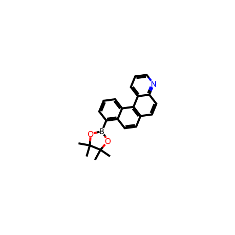 CC1(C)OB(c2cccc3c2ccc2ccc4ncccc4c23)OC1(C)C